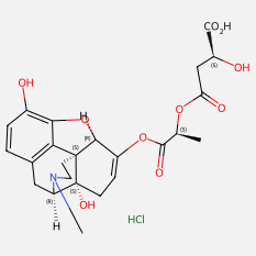 C[C@H](OC(=O)C[C@H](O)C(=O)O)C(=O)OC1=CC[C@@]2(O)[C@H]3Cc4ccc(O)c5c4[C@@]2(CCN3C)[C@H]1O5.Cl